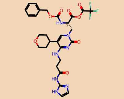 O=C(CCNc1nc(=O)n(C[C@H](NC(=O)OCc2ccccc2)C(=O)OC(=O)C(F)(F)F)cc1C1CCOCC1)Nc1ncc[nH]1